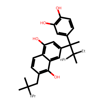 CCCC(C)(C)Cc1ccc2c(O)cc(C(C)(c3ccc(O)c(O)c3)C(C)(CC)CCC)cc2c1O